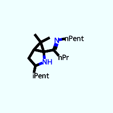 CCCCC/N=C(\CCC)C12NC(C(C)CCC)CC1C2(C)C